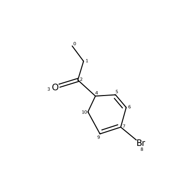 CCC(=O)C1C=CC(Br)=CC1